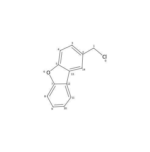 ClCc1ccc2oc3ccccc3c2c1